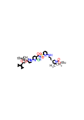 CC(C)(C)OC(=O)N1C[C@@H](CCCNc2cccc(S(=O)(=O)NC(=O)c3ccc(-n4ccc(OCC(O[Si](C)(C)C(C)(C)C)C5C6(CC6)C56CC6)n4)nc3Cl)n2)CC1(C)C